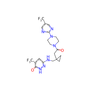 O=C(CC1(CNc2cc(C(F)(F)F)c(=O)[nH]n2)CC1)N1CCN(c2ncc(C(F)(F)F)cn2)CC1